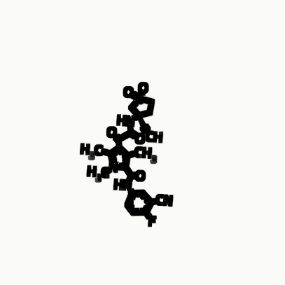 C#C[C@]1(NC(=O)C(=O)c2c(C)c(C(=O)Nc3ccc(F)c(C#N)c3)n(C)c2C)CCS(=O)(=O)C1